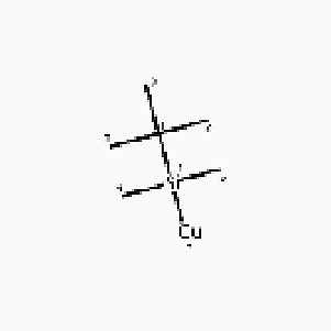 CC(C)(C)[Si](C)(C)[Cu]